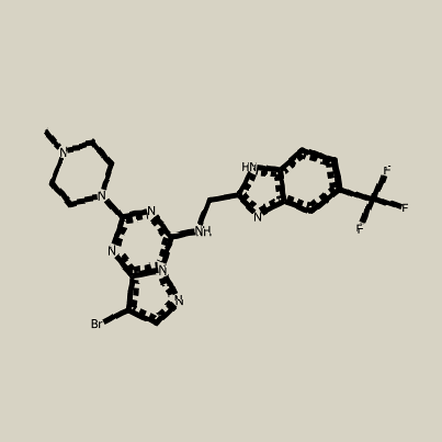 CN1CCN(c2nc(NCc3nc4cc(C(F)(F)F)ccc4[nH]3)n3ncc(Br)c3n2)CC1